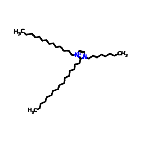 CCCCCCCCCCCCCCCCc1n(CCCCCCCC)cc[n+]1CCCCCCCCCCCCCC